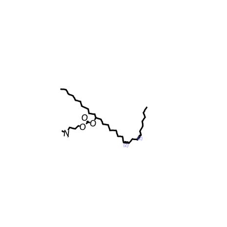 CCCCCC/C=C\C/C=C\CCCCCCCC(CCCCCCCCCC)OC(=O)OCCCN(C)C